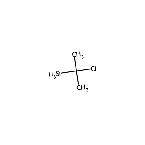 CC(C)([SiH3])Cl